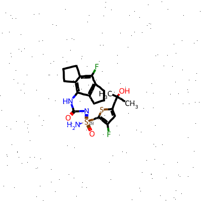 CC(C)(O)c1cc(F)c([S@@](N)(=O)=NC(=O)Nc2c3c(c(F)c4c2CCC4)CCC3)s1